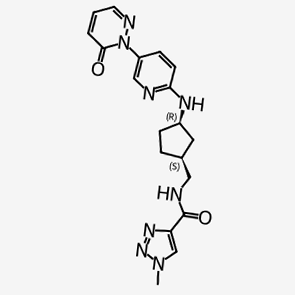 Cn1cc(C(=O)NC[C@H]2CC[C@@H](Nc3ccc(-n4ncccc4=O)cn3)C2)nn1